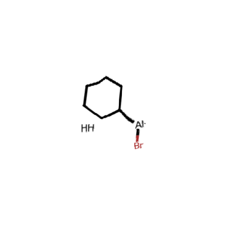 [Br][Al][CH]1CCCCC1.[HH]